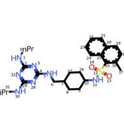 CCCNc1nc(NCC2CCC(NS(=O)(=O)c3c(C)ccc4ccccc34)CC2)nc(NC(C)C)n1